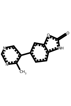 Cc1ncncc1-c1ccc2[nH]c(=O)oc2c1